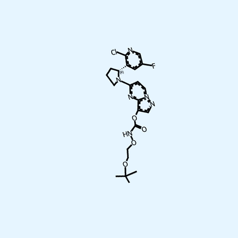 CC(C)(C)OCCONC(=O)Oc1cnn2ccc(N3CCC[C@@H]3c3cc(F)cnc3Cl)nc12